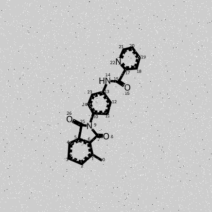 Cc1cccc2c1C(=O)N(c1ccc(NC(=O)c3ccccn3)cc1)C2=O